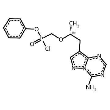 C[C@H](Cc1cnn2c(N)ncnc12)OCP(=O)(Cl)Oc1ccccc1